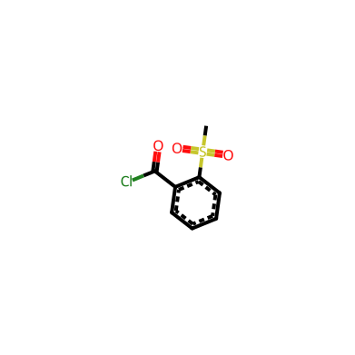 CS(=O)(=O)c1ccccc1C(=O)Cl